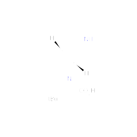 CC(C)(C)C1CC[C@@H]2CNC[C@@H]2N1C(=O)O